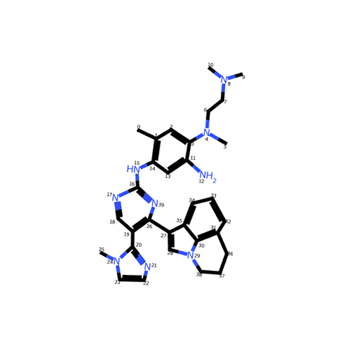 Cc1cc(N(C)CCN(C)C)c(N)cc1Nc1ncc(-c2nccn2C)c(-c2cn3c4c(cccc24)CCC3)n1